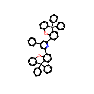 c1ccc(-c2cc(-c3cccc4c3Oc3ccccc3C4(c3ccccc3)c3ccccc3)nc(-c3cccc4c3Oc3ccccc3[Si]4(c3ccccc3)c3ccccc3)c2)cc1